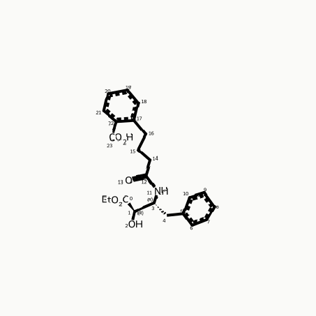 CCOC(=O)[C@H](O)[C@@H](Cc1ccccc1)NC(=O)CCCc1ccccc1C(=O)O